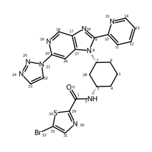 O=C(N[C@H]1CCC[C@@H](n2c(-c3ccccn3)nc3cnc(-n4ccnn4)cc32)C1)c1ncc(Br)s1